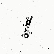 N#Cc1cc2ncn(CC(=O)C[C@H]3NCCC[C@@H]3O)c(=O)c2cc1Cl